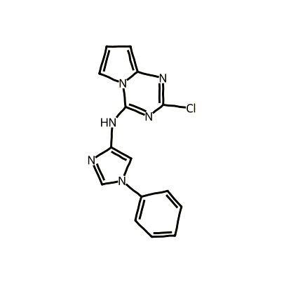 Clc1nc(Nc2cn(-c3ccccc3)cn2)n2cccc2n1